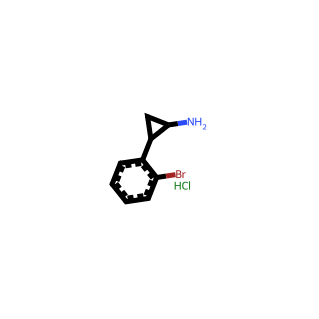 Cl.NC1CC1c1ccccc1Br